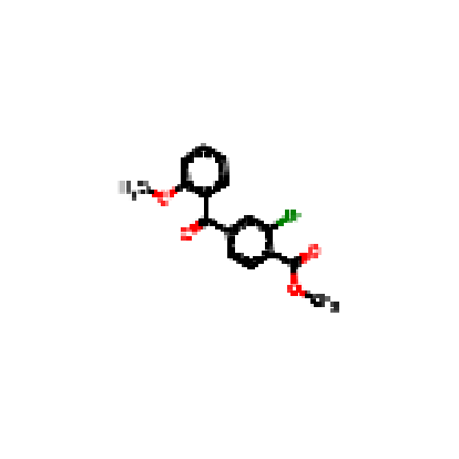 COC(=O)c1ccc(C(=O)c2ccccc2OC)cc1Br